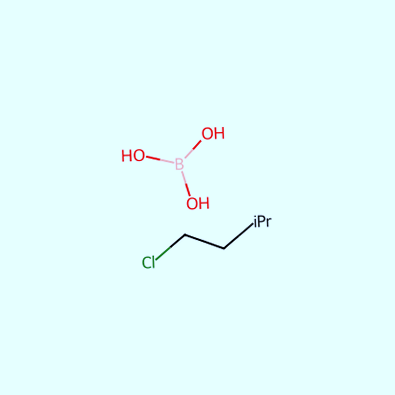 CC(C)CCCl.OB(O)O